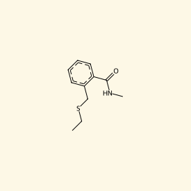 CCSCc1ccccc1C(=O)NC